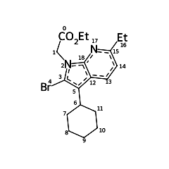 CCOC(=O)Cn1c(Br)c(C2CCCCC2)c2ccc(CC)nc21